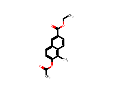 CCOC(=O)c1ccc2c(C)c(OC(C)=O)ccc2c1